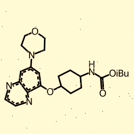 CC(C)COC(=O)NC1CCC(Oc2cc(N3CCOCC3)cc3nccnc23)CC1